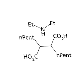 CCCCCC(C(=O)O)C(CCCCC)C(=O)O.CCNCC